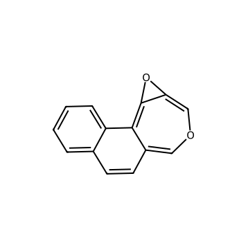 c1ccc2c(c1)ccc1cocc3oc-3c12